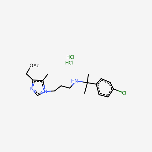 CC(=O)OCc1ncn(CCCNC(C)(C)c2ccc(Cl)cc2)c1C.Cl.Cl